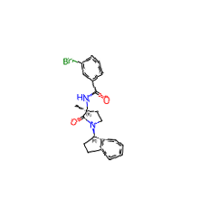 C[C@@]1(NC(=O)c2cccc(Br)c2)CCN([C@@H]2CCc3ccccc32)C1=O